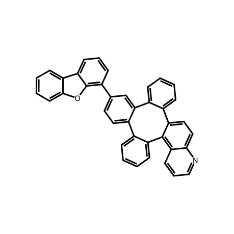 c1ccc2c(c1)-c1cc(-c3cccc4c3oc3ccccc34)ccc1-c1ccccc1-c1c-2ccc2ncccc12